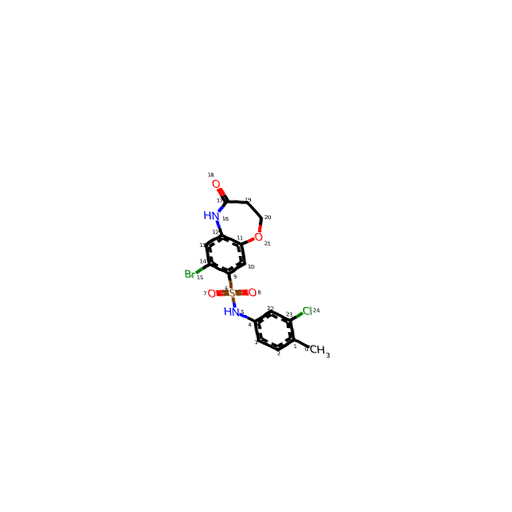 Cc1ccc(NS(=O)(=O)c2cc3c(cc2Br)NC(=O)CCO3)cc1Cl